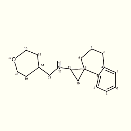 c1ccc2c(c1)CCCC21CC1NCC1CCOCC1